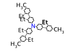 CCc1cc(C)ccc1-c1ccc(N(c2ccc(-c3ccc(C)cc3CC)c(CC)c2)c2ccc(-c3ccc(C)cc3CC)c(CC)c2)cc1CC